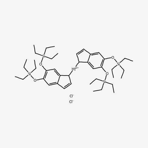 CC[Si](CC)(CC)Oc1cc2c(cc1O[Si](CC)(CC)CC)[CH]([Hf+2][CH]1C=Cc3cc(O[Si](CC)(CC)CC)c(O[Si](CC)(CC)CC)cc31)C=C2.[Cl-].[Cl-]